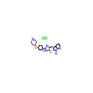 CN1CCC(Oc2ccc(C3=NC(=Cc4c[nH]c5ncccc45)C(=O)N3)cc2)CC1.Cl.Cl